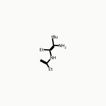 C=C(CC)N/C(CC)=C(\N)C(C)(C)C